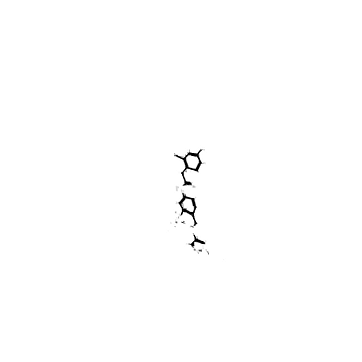 Cn1cc(OCc2ccc(NC(=O)Cc3ccc(F)cc3Cl)cc2S(N)(=O)=O)cn1